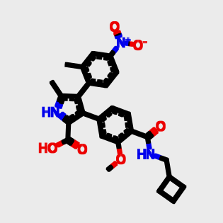 COc1cc(-c2c(C(=O)O)[nH]c(C)c2-c2ccc([N+](=O)[O-])cc2C)ccc1C(=O)NCC1CCC1